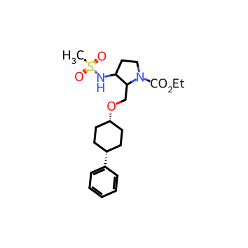 CCOC(=O)N1CCC(NS(C)(=O)=O)C1CO[C@H]1CC[C@@H](c2ccccc2)CC1